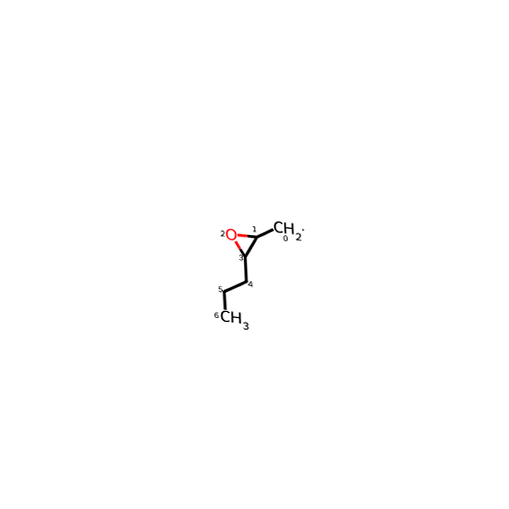 [CH2]C1OC1CCC